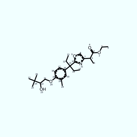 CCOC(=O)C(C)c1coc(C(CC)(CC)c2ccc(OCC(O)C(C)(C)C)c(C)c2)n1